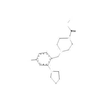 Cc1ccc(CN2CCN(C(=O)OC(C)(C)C)CC2)c(N2CCCC2)c1